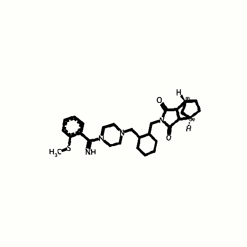 CSc1ccccc1C(=N)N1CCN(CC2CCCCC2CN2C(=O)C3C(C2=O)[C@@H]2CC[C@@H]3C2)CC1